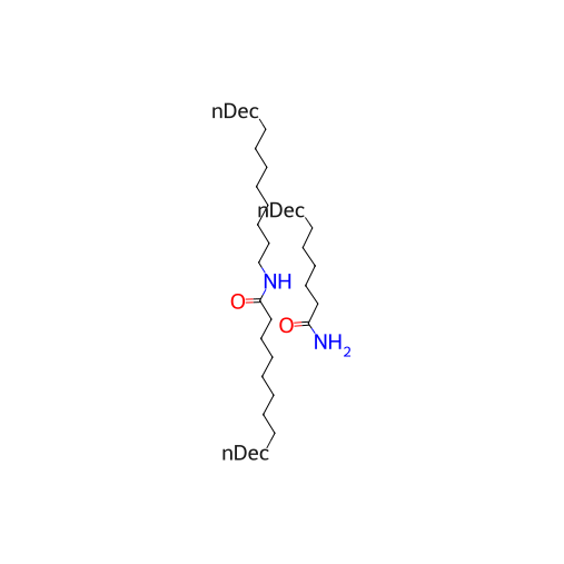 CCCCCCCCCCCCCCCC(N)=O.CCCCCCCCCCCCCCCCCCNC(=O)CCCCCCCCCCCCCCCCC